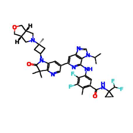 Cc1c(C(=O)NC2(C(F)F)CC2)cc(Nc2nc(-c3cnc4c(c3)N([C@H]3C[C@@](C)(N5C[C@H]6COC[C@H]6C5)C3)C(=O)C4(C)C)cc3ncn(C(C)C)c23)c(F)c1F